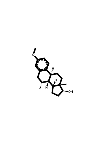 COc1ccc2c(c1)C[C@@H](C)[C@@H]1[C@@H]2CC[C@@]2(C)[C@@H]1CC[C@@H]2O